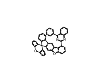 c1ccc(-c2nc(-c3cccc4oc5cc6c(cc5c34)-c3ccccc3C63c4ccccc4Oc4ccccc43)nc3ccccc23)cc1